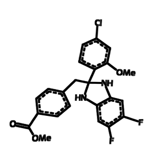 COC(=O)c1ccc(CC2(c3ccc(Cl)cc3OC)Nc3cc(F)c(F)cc3N2)cc1